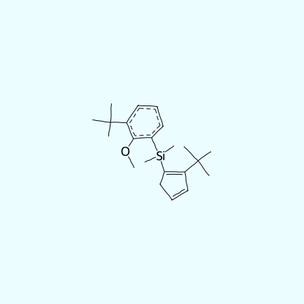 COc1c(C(C)(C)C)cccc1[Si](C)(C)C1=C(C(C)(C)C)C=CC1